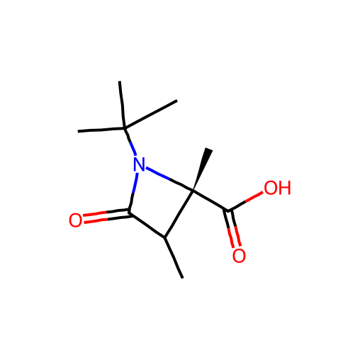 CC1C(=O)N(C(C)(C)C)[C@]1(C)C(=O)O